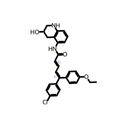 CCOc1ccc(/C(=C\C=C\C(=O)Nc2cccc3c2CC(O)CN3)c2ccc(Cl)cc2)cc1